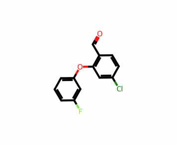 O=Cc1ccc(Cl)cc1Oc1cccc(F)c1